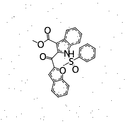 COC(=O)c1c(C(=O)c2cc3ccccc3o2)n([SH](C)(=O)c2ccccc2)c2ccccc12